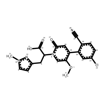 COc1cn(C(Cc2ccn(C)n2)C(=O)O)c(=O)cc1-c1cc(Cl)ccc1C#N